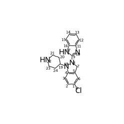 Clc1ccc2c(c1)CN(c1nc3ccccc3[nH]1)N2C1CCNCC1